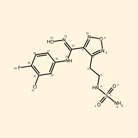 NS(=O)(=O)NCCc1nonc1/C(=N/O)Nc1ccc(F)c(Cl)c1